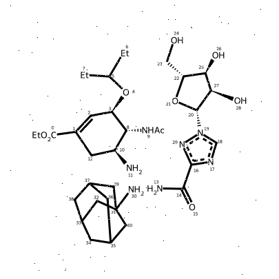 CCOC(=O)C1=C[C@@H](OC(CC)CC)[C@H](NC(C)=O)[C@@H](N)C1.NC(=O)c1ncn([C@@H]2O[C@H](CO)[C@@H](O)[C@H]2O)n1.NC12CC3CC(CC(C3)C1)C2